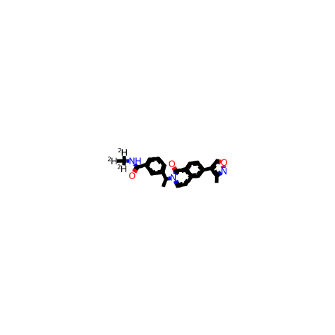 [2H]C([2H])([2H])NC(=O)c1cccc(C(C)n2ccc3cc(-c4conc4C)ccc3c2=O)c1